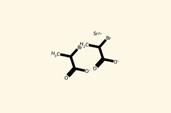 CC(Br)C(=O)[O-].CC(Br)C(=O)[O-].[Sr+2]